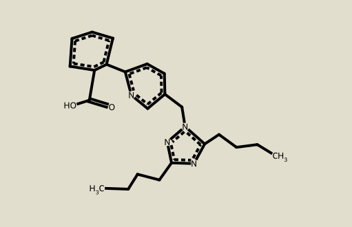 CCCCc1nc(CCCC)n(Cc2ccc(-c3ccccc3C(=O)O)nc2)n1